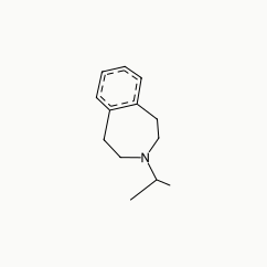 CC(C)N1CCc2ccccc2CC1